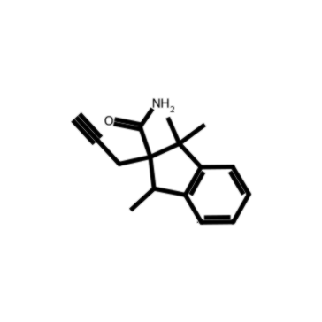 C#CCC1(C(N)=O)C(C)c2[c]cccc2C1(C)C